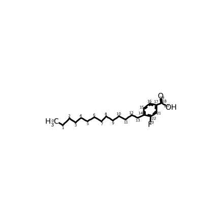 CCCCCCCCCCCCCCc1ccc(C(=O)O)cc1F